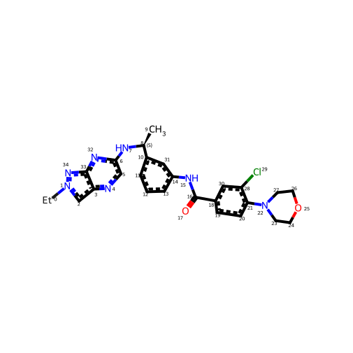 CCn1cc2ncc(N[C@@H](C)c3cccc(NC(=O)c4ccc(N5CCOCC5)c(Cl)c4)c3)nc2n1